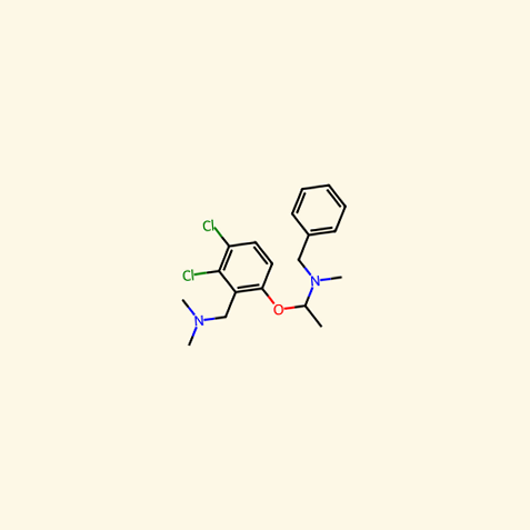 CC(Oc1ccc(Cl)c(Cl)c1CN(C)C)N(C)Cc1ccccc1